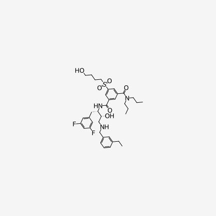 CCCN(CCC)C(=O)c1cc(C(=O)N[C@@H](Cc2cc(F)cc(F)c2)[C@H](O)CNCc2cccc(CC)c2)cc(S(=O)(=O)CCCCO)c1